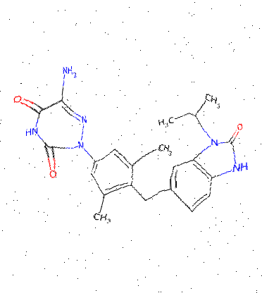 Cc1cc(-n2nc(N)c(=O)[nH]c2=O)cc(C)c1Cc1ccc2[nH]c(=O)n(C(C)C)c2c1